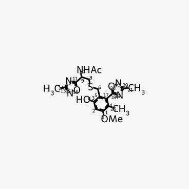 COc1cc(O)c(CSCC(NC(C)=O)c2nc(C)no2)c(-c2nc(C)no2)c1C